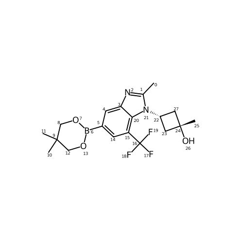 Cc1nc2cc(B3OCC(C)(C)CO3)cc(C(F)(F)F)c2n1[C@H]1C[C@@](C)(O)C1